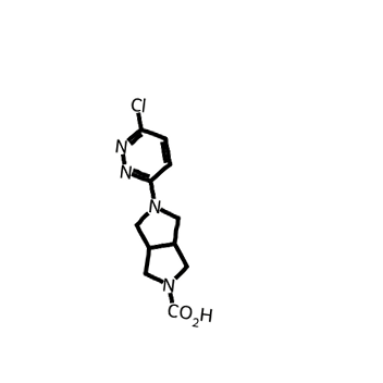 O=C(O)N1CC2CN(c3ccc(Cl)nn3)CC2C1